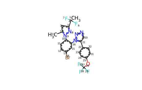 Cc1cc(C(C)(F)F)nn1-c1ccc(Br)cc1-n1nncc1-c1ccc(OC(F)(F)F)cc1